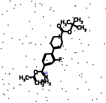 C=C(C)O/C(=N\N)c1ccc(C2=CCN(C(=O)OC(C)(C)C)CC2)c(F)c1